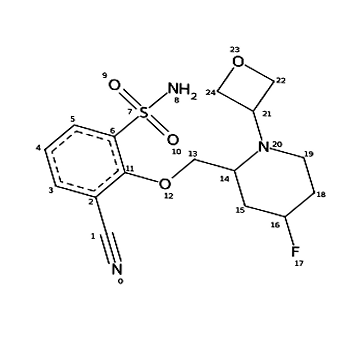 N#Cc1cccc(S(N)(=O)=O)c1OCC1CC(F)CCN1C1COC1